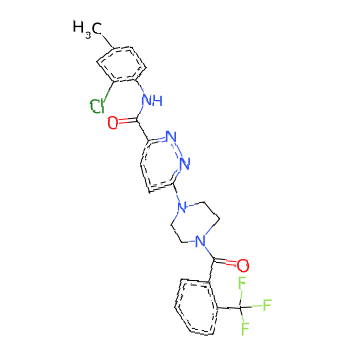 Cc1ccc(NC(=O)c2ccc(N3CCN(C(=O)c4ccccc4C(F)(F)F)CC3)nn2)c(Cl)c1